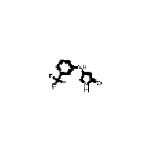 O=C1C=C(Nc2cccc(C(F)(F)F)c2)CN1